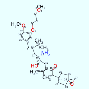 COCCCOc1cc(CC(C[C@H](N)[C@@H](O)CC(C(=O)CC2CCC3(CC2)CO3)C(C)C)C(C)C)ccc1OC